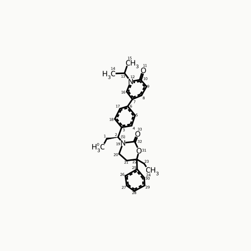 CC[C@@H](c1ccc(-c2ccc(=O)n(C(C)C)c2)cc1)N1CCC(CC)(c2ccccc2)OC1=O